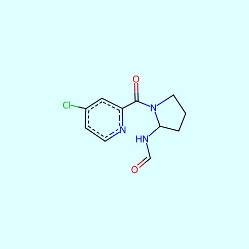 O=CNC1CCCN1C(=O)c1cc(Cl)ccn1